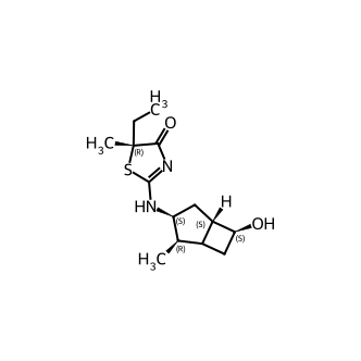 CC[C@@]1(C)SC(N[C@H]2C[C@H]3C(C[C@@H]3O)[C@H]2C)=NC1=O